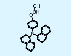 OBOc1ccc(N(c2cccc3ccccc23)c2cccc3ccccc23)cc1